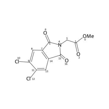 COC(=O)CN1C(=O)c2cc(Cl)c(Cl)cc2C1=O